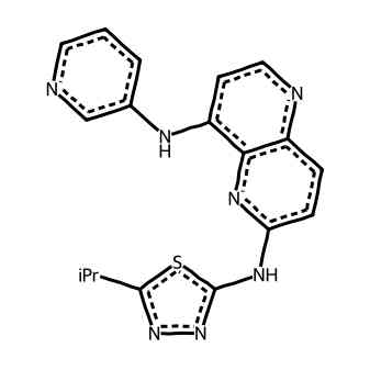 CC(C)c1nnc(Nc2ccc3nccc(Nc4cccnc4)c3n2)s1